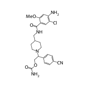 COc1cc(N)c(Cl)cc1C(=O)NCC1CCN(C(COC(N)=O)c2ccc(C#N)cc2)CC1